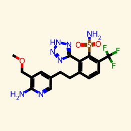 COCc1cc(CCc2ccc(C(F)(F)F)c(S(N)(=O)=O)c2-c2nn[nH]n2)cnc1N